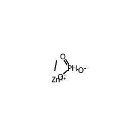 CC.O=[PH]([O-])[O-].[Zn+2]